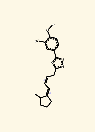 CC(C)Oc1ccc(-c2nnc(C/C=C\C=C3\CCCC3C)s2)cc1C#N